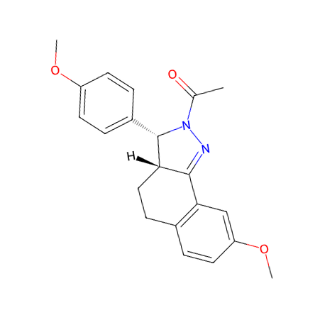 COc1ccc([C@H]2[C@H]3CCc4ccc(OC)cc4C3=NN2C(C)=O)cc1